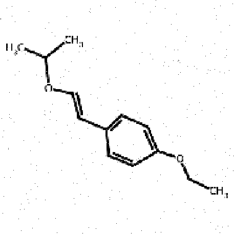 CCOc1ccc(C=COC(C)C)cc1